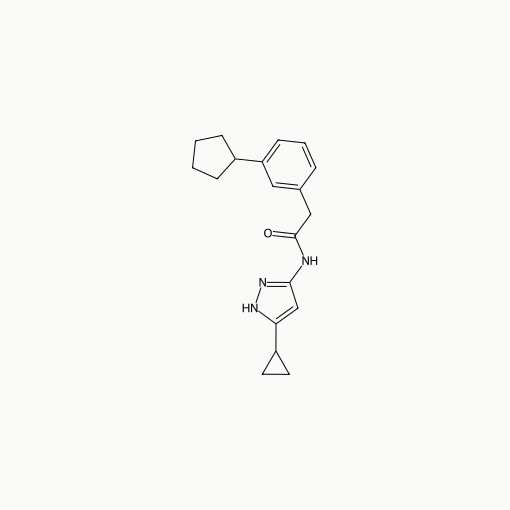 O=C(Cc1cccc(C2CCCC2)c1)Nc1cc(C2CC2)[nH]n1